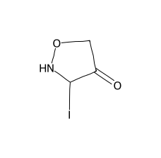 O=C1CONC1I